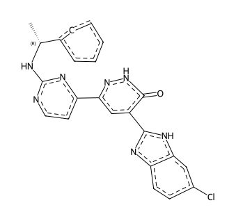 C[C@@H](Nc1nccc(-c2cc(-c3nc4ccc(Cl)cc4[nH]3)c(=O)[nH]n2)n1)c1ccccc1